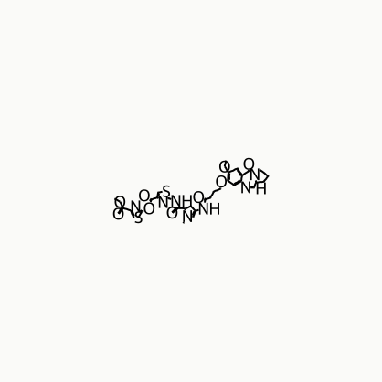 COC(=O)c1csc(OC(=O)c2csc(NC(=O)C3CC(NC(=O)CCCOc4cc5c(cc4OC)C(=O)N4CCC[C@H]4C=N5)=CN3C)n2)n1